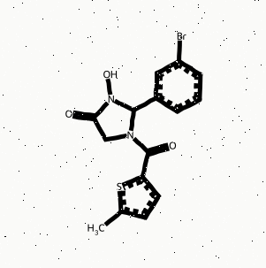 Cc1ccc(C(=O)N2CC(=O)N(O)C2c2cccc(Br)c2)s1